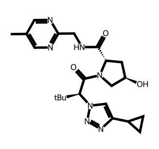 Cc1cnc(CNC(=O)[C@@H]2C[C@@H](O)CN2C(=O)[C@@H](n2cc(C3CC3)nn2)C(C)(C)C)nc1